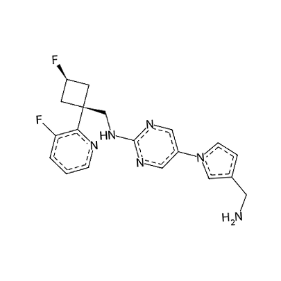 NCc1ccn(-c2cnc(NC[C@]3(c4ncccc4F)C[C@H](F)C3)nc2)c1